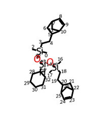 C[Si](C)(CCC1CC2C=CC1C2)O[SiH](O[Si](C)(C)CCC1CC2C=CC1C2)C1CCCCC1